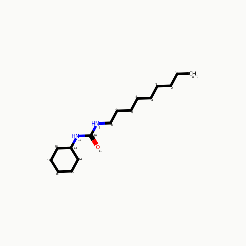 CCCCCCCCCNC(=O)NC1CCCCC1